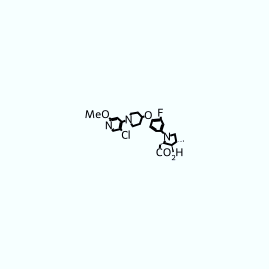 COc1cc(N2CCC(Oc3ccc(N4C[C@H](C)[C@@H](C)[C@@H]4CC(=O)O)cc3F)CC2)c(Cl)cn1